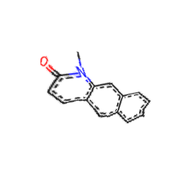 Cn1c(=O)ccc2cc3ccccc3cc21